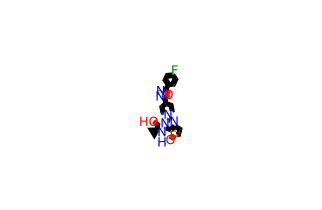 [O-][S+]1CCc2nc(N3CCC(c4nnc(-c5ccc(F)cc5)o4)CC3)nc(NC3(CO)CC3)c21